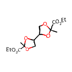 CCOC(=O)C1(C)OCC(C2COC(C)(C(=O)OCC)O2)O1